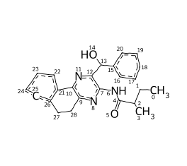 CCC(C)C(=O)Nc1nc2c(nc1C(O)c1ccccc1)-c1ccccc1CC2